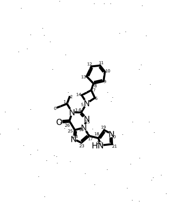 CC(C)n1c(N2CC(c3ccccc3)C2)nn2c(-c3cnc[nH]3)cnc2c1=O